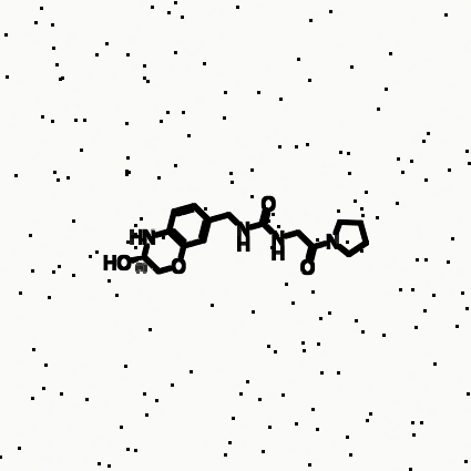 O=C(NCC(=O)N1CCCC1)NCc1ccc2c(c1)OC[C@@H](O)N2